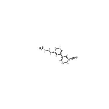 CC/C=C/c1cccc(-c2cncc(C#N)c2)c1